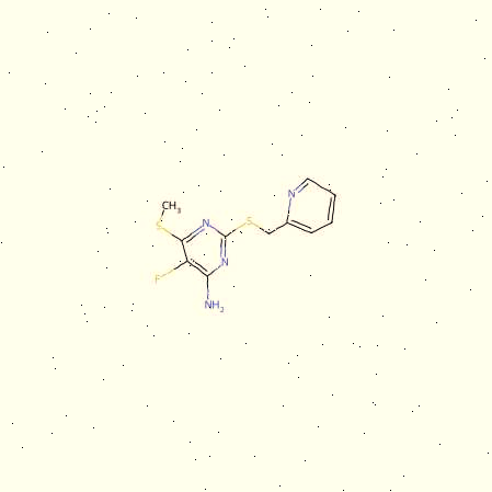 CSc1nc(SCc2ccccn2)nc(N)c1F